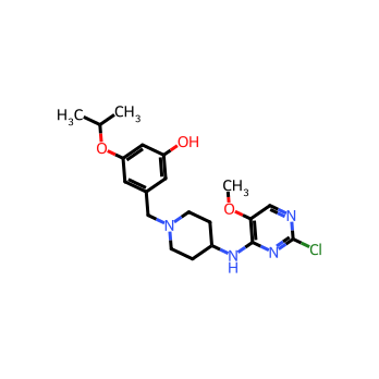 COc1cnc(Cl)nc1NC1CCN(Cc2cc(O)cc(OC(C)C)c2)CC1